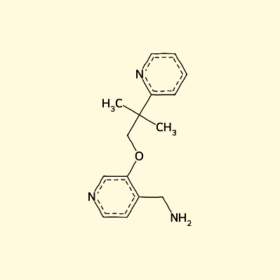 CC(C)(COc1cnccc1CN)c1ccccn1